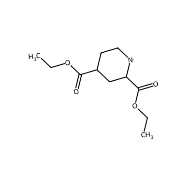 CCOC(=O)[C]1CC[N]C(C(=O)OCC)C1